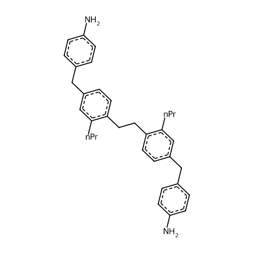 CCCc1cc(Cc2ccc(N)cc2)ccc1CCc1ccc(Cc2ccc(N)cc2)cc1CCC